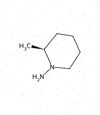 C[C@H]1CCCCN1N